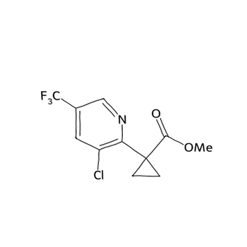 COC(=O)C1(c2ncc(C(F)(F)F)cc2Cl)CC1